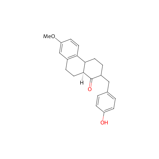 COc1ccc2c(c1)CC[C@@H]1C(=O)C(Cc3ccc(O)cc3)CCC21